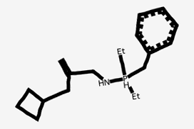 C=C(CN[PH](CC)(CC)Cc1ccccc1)CC1CCC1